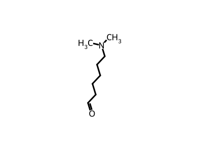 CN(C)CCCCCC=O